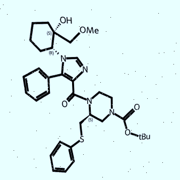 COC[C@]1(O)CCCC[C@H]1n1cnc(C(=O)N2CCN(C(=O)OC(C)(C)C)C[C@H]2CSc2ccccc2)c1-c1ccccc1